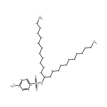 CCCCCCCCCCCCC(CCCCCCCCCCCC)OS(=O)(=O)c1ccc(C)cc1